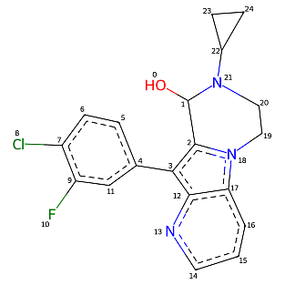 OC1c2c(-c3ccc(Cl)c(F)c3)c3ncccc3n2CCN1C1CC1